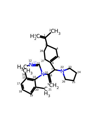 C=C(C)C1CC=C(C(C(=C)N(/C=N\C)c2c(C)cccc2C)N2CCCC2)CC1